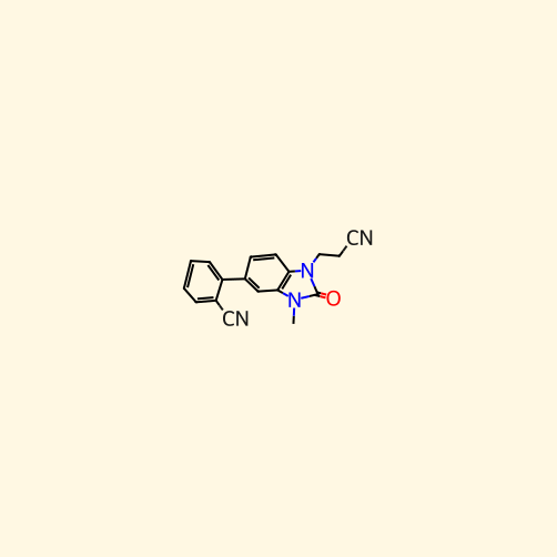 Cn1c(=O)n(CCC#N)c2ccc(-c3ccccc3C#N)cc21